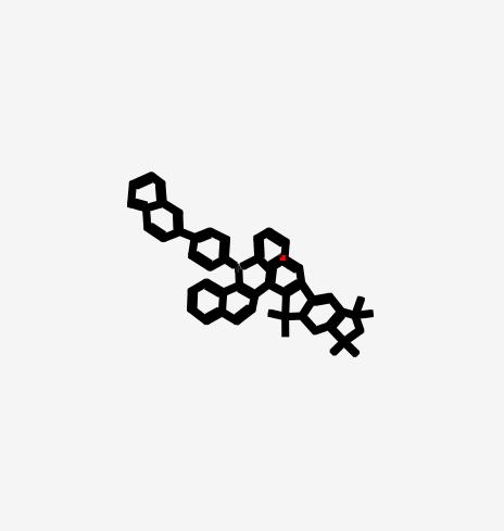 CC1(C)CC(C)(C)C2=C1C=C1c3cccc(-c4ccc5ccccc5c4N(c4ccccc4)c4ccc(-c5ccc6ccccc6c5)cc4)c3C(C)(C)C1C2